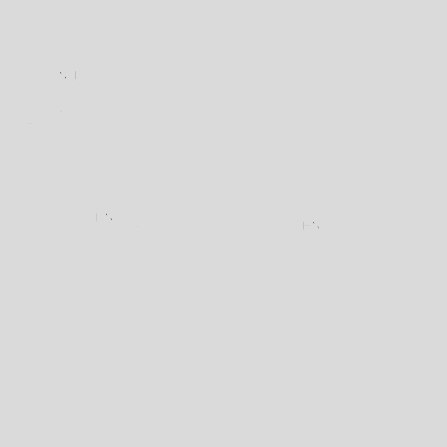 NC(=O)c1ccc2c(CCCCC3CC(c4ccccc4)=CCN3)c[nH]c2c1